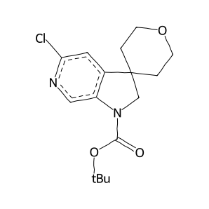 CC(C)(C)OC(=O)N1CC2(CCOCC2)c2cc(Cl)ncc21